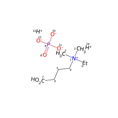 CC[N+](C)(C)CCCC(=O)O.O=P([O-])([O-])[O-].[H+].[H+]